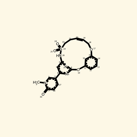 Cn1cc(-c2cc3nc(n2)Oc2cccc(c2)OC/C=C\CCS(=O)(=O)N3)ccc1=O